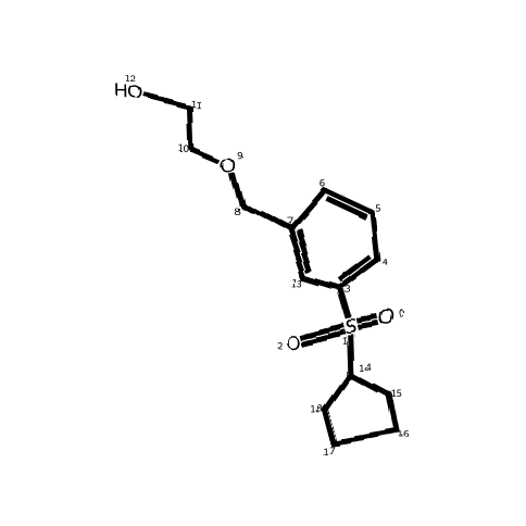 O=S(=O)(c1cccc(COCCO)c1)C1CCCC1